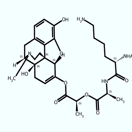 CC(=O)N[C@@H](CCCCN)C(=O)N[C@@H](C)C(=O)O[C@@H](C)C(=O)OC1=CC[C@]2(O)[C@@H]3Cc4ccc(O)c5c4[C@]2(CCN3C)[C@@H]1O5